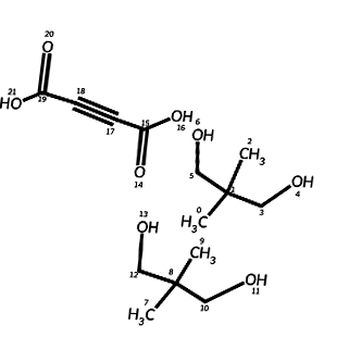 CC(C)(CO)CO.CC(C)(CO)CO.O=C(O)C#CC(=O)O